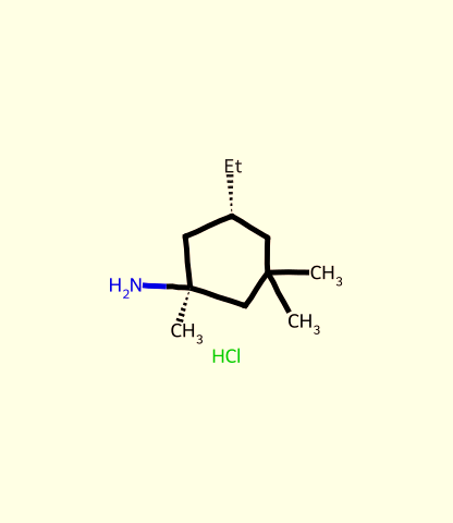 CC[C@@H]1CC(C)(C)C[C@@](C)(N)C1.Cl